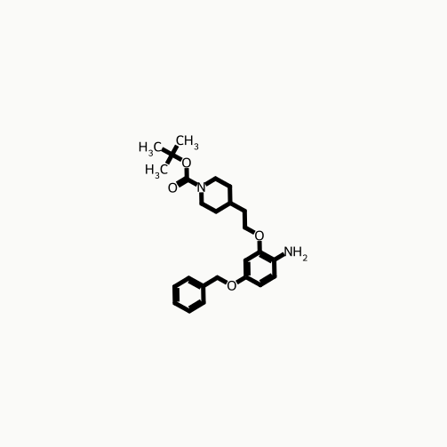 CC(C)(C)OC(=O)N1CCC(CCOc2cc(OCc3ccccc3)ccc2N)CC1